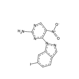 Nc1ncc([N+](=O)[O-])c(-n2ncc3ccc(I)cc32)n1